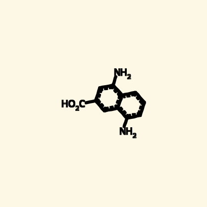 Nc1cc(C(=O)O)cc2c(N)cccc12